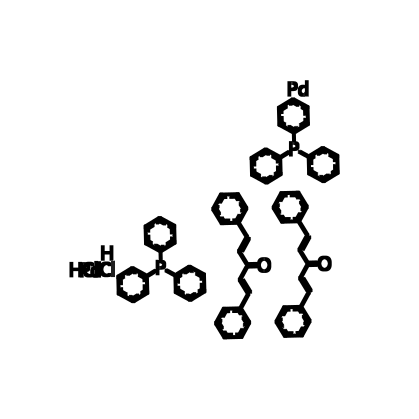 Cl.Cl.O=C(C=Cc1ccccc1)C=Cc1ccccc1.O=C(C=Cc1ccccc1)C=Cc1ccccc1.[Pd].[Pd].c1ccc(P(c2ccccc2)c2ccccc2)cc1.c1ccc(P(c2ccccc2)c2ccccc2)cc1